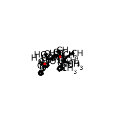 C#CCCCCN(C(=O)[C@@H](NC(=O)[C@H]1CCCCN1C)[C@@H](C)CC)[C@H](C[C@@H](OC(C)=O)c1nc(C(=O)N[C@@H](Cc2ccc(OCc3ccccc3)c([N+](=O)[O-])c2)CC(C)(C)C(=O)O)cs1)C(C)C